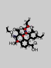 CCO/N=C(/CC)c1c(-c2c(C(=O)O)ccc(C(=O)O)c2-c2cc(CC)oc(=O)c2/C(CC)=N\OCC)cc(CC)oc1=O